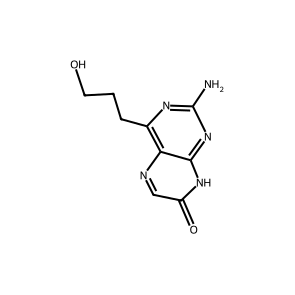 Nc1nc(CCCO)c2ncc(=O)[nH]c2n1